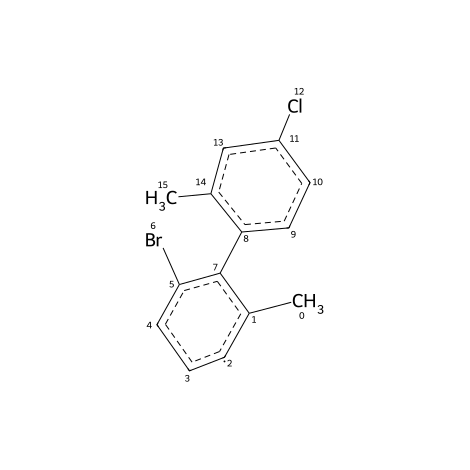 Cc1[c]ccc(Br)c1-c1ccc(Cl)cc1C